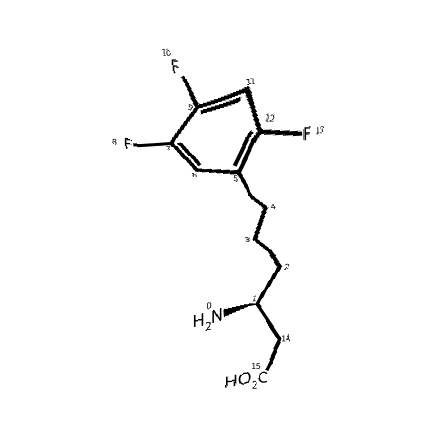 N[C@@H](CCCc1cc(F)c(F)cc1F)CC(=O)O